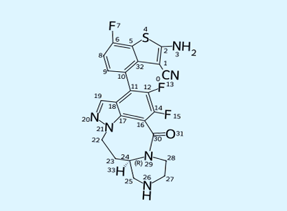 N#Cc1c(N)sc2c(F)ccc(-c3c(F)c(F)c4c5c3cnn5CC[C@@H]3CNCCN3C4=O)c12